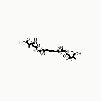 CC(C(=O)O)[C@@](C)(O)CC(=O)Nc1nnc(CCCCc2nnc(NC(=O)C[C@](C)(O)C(C)C(=O)O)s2)s1